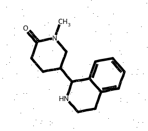 CN1CC(C2NCCc3ccccc32)CCC1=O